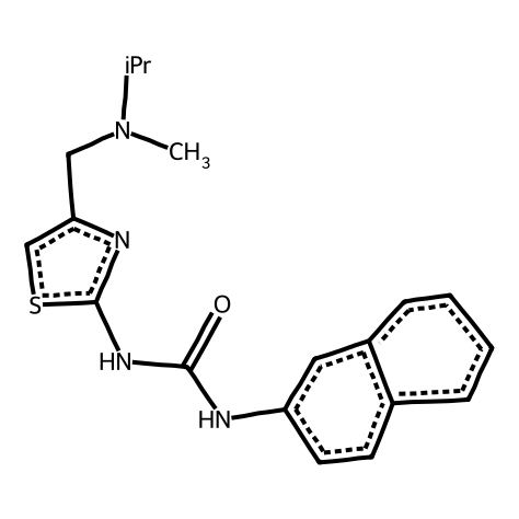 CC(C)N(C)Cc1csc(NC(=O)Nc2ccc3ccccc3c2)n1